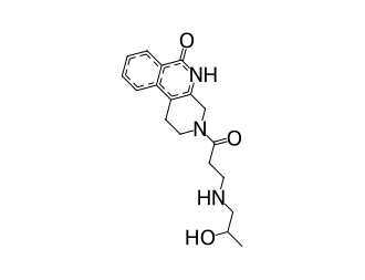 CC(O)CNCCC(=O)N1CCc2c([nH]c(=O)c3ccccc23)C1